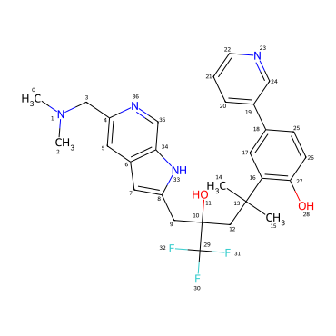 CN(C)Cc1cc2cc(CC(O)(CC(C)(C)c3cc(-c4cccnc4)ccc3O)C(F)(F)F)[nH]c2cn1